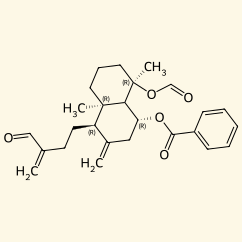 C=C(C=O)CC[C@@H]1C(=C)C[C@@H](OC(=O)c2ccccc2)C2[C@](C)(OC=O)CCC[C@@]21C